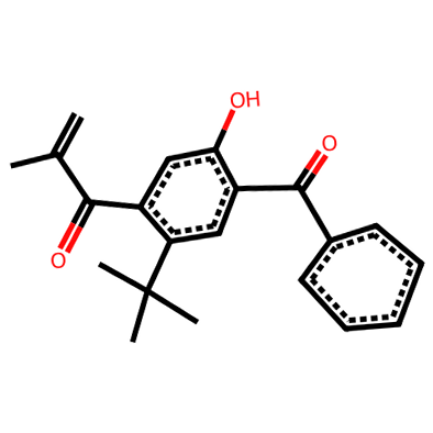 C=C(C)C(=O)c1cc(O)c(C(=O)c2ccccc2)cc1C(C)(C)C